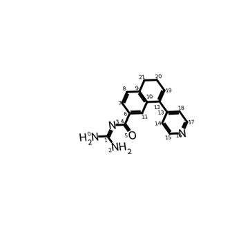 NC(N)=NC(=O)c1ccc2c(c1)C(c1ccncc1)=CCC2